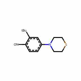 CC(C)(C)c1cc(N2CCSCC2)ccc1N=O